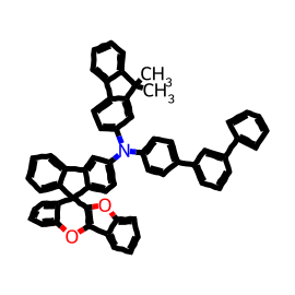 CC1(C)c2ccccc2-c2ccc(N(c3ccc(-c4cccc(-c5ccccc5)c4)cc3)c3ccc4c(c3)-c3ccccc3C43c4ccccc4Oc4c3oc3ccccc43)cc21